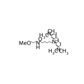 COCCCNC(=O)CCCCC[n+]1c2cc(N(C)C)ccc2cc2ccc(N(C)C)cc21